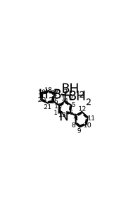 BC(B)(B)c1cc(-c2ccccc2)ncc1-c1ccccc1